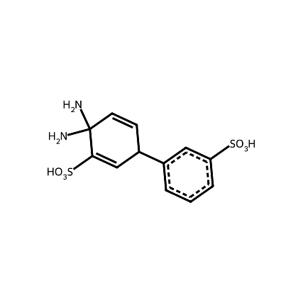 NC1(N)C=CC(c2cccc(S(=O)(=O)O)c2)C=C1S(=O)(=O)O